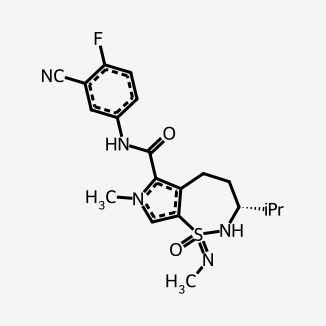 CN=S1(=O)N[C@@H](C(C)C)CCc2c1cn(C)c2C(=O)Nc1ccc(F)c(C#N)c1